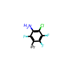 CC(C)c1c(F)c(N)c(Cl)c(F)c1F